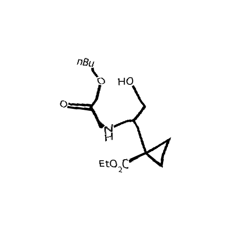 CCCCOC(=O)NC(CO)C1(C(=O)OCC)CC1